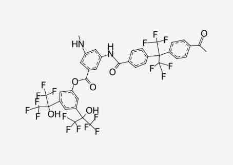 CNc1cc(NC(=O)c2ccc(C(c3ccc(C(C)=O)cc3)(C(F)(F)F)C(F)(F)F)cc2)cc(C(=O)Oc2cc(C(O)(C(F)(F)F)C(F)(F)F)cc(C(O)(C(F)(F)F)C(F)(F)F)c2)c1